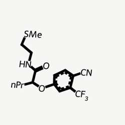 CCCC(Oc1ccc(C#N)c(C(F)(F)F)c1)C(=O)NCCSC